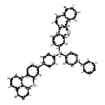 c1ccc(-c2ccc(N(c3ccc(-c4ccc5c(c4)Sc4cccc6cccc-5c46)cc3)c3ccc4c(c3)oc3c5ccccc5ccc43)cc2)cc1